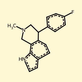 CN1Cc2c(ccc3cc[nH]c23)C(c2ccc(F)cc2)C1